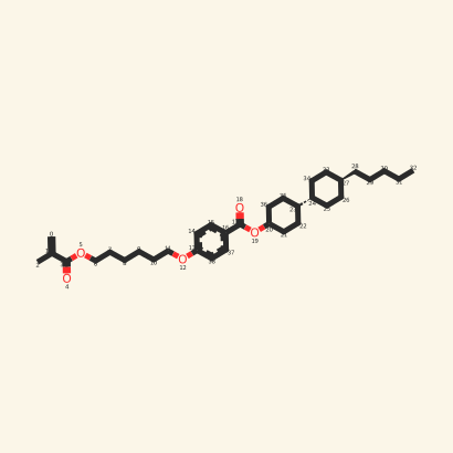 C=C(C)C(=O)OCCCCCCOc1ccc(C(=O)OC2CCC([C@H]3CC[C@H](CCCCC)CC3)CC2)cc1